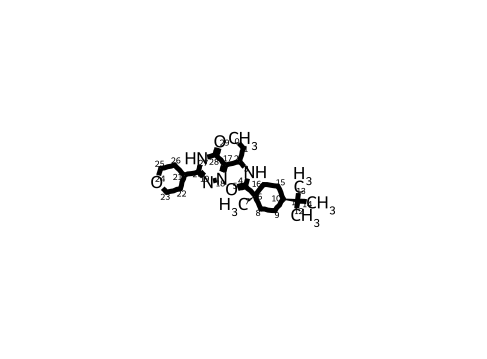 CCC(NC(=O)[C@]1(C)CC[C@H](C(C)(C)C)CC1)c1nnc(C2CCOCC2)[nH]c1=O